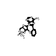 CP1(=S)OCC2OC(n3c(-c4ccccc4)nc4c(N)ncnc43)C(O)C2O1